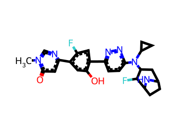 Cn1cnc(-c2cc(O)c(-c3ccc(N(C4CC4)C4CC5CCC(N5)C4F)nn3)cc2F)cc1=O